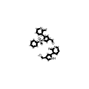 O=Cc1c[nH]c(-c2cccnc2F)c1.O=Cc1cc(-c2cccnc2F)n(S(=O)(=O)c2ccccc2)c1